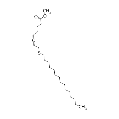 CCCCCCCCCCCCCCCSCC=C=CCCCC(=O)OC